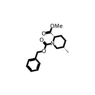 COC(=O)[C@@H]1CC[C@H](C)CN1C(=O)OCc1ccccc1